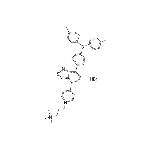 Br.Cc1ccc(N(c2ccc(C)cc2)c2ccc(-c3ccc(-c4cc[n+](CCC[N+](C)(C)C)cc4)c4nsnc34)cc2)cc1